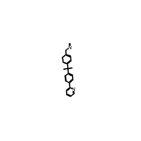 C=NCC1=CC=C(C(C)(C)c2ccc(-c3ccccn3)cc2)CC1